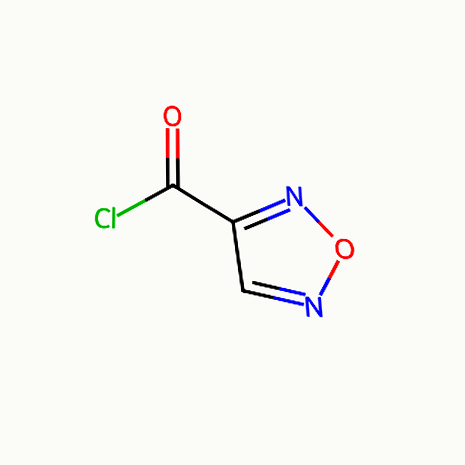 O=C(Cl)c1cnon1